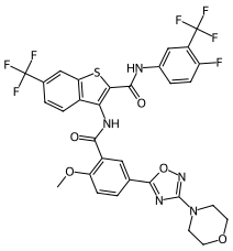 COc1ccc(-c2nc(N3CCOCC3)no2)cc1C(=O)Nc1c(C(=O)Nc2ccc(F)c(C(F)(F)F)c2)sc2cc(C(F)(F)F)ccc12